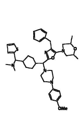 COc1ccc(N2CCN(C(c3nc(Cc4ccccc4)c(N4CC(C)OC(C)C4)o3)C3CCC(C(c4cccs4)N(C)C)CC3)CC2)cc1